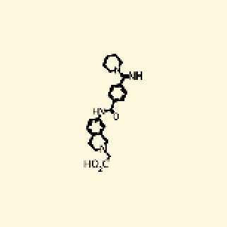 N=C(c1ccc(C(=O)Nc2ccc3c(c2)CN(CC(=O)O)CC3)cc1)N1CCCCC1